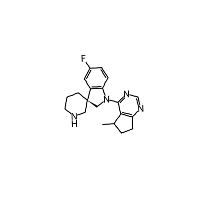 CC1CCc2ncnc(N3C[C@@]4(CCCNC4)c4cc(F)ccc43)c21